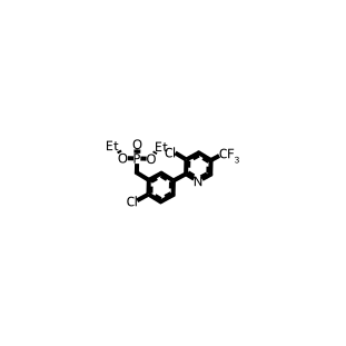 CCOP(=O)(Cc1cc(-c2ncc(C(F)(F)F)cc2Cl)ccc1Cl)OCC